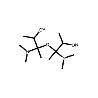 CC(O)C(C)(OC(C)(C(C)O)N(C)C)N(C)C